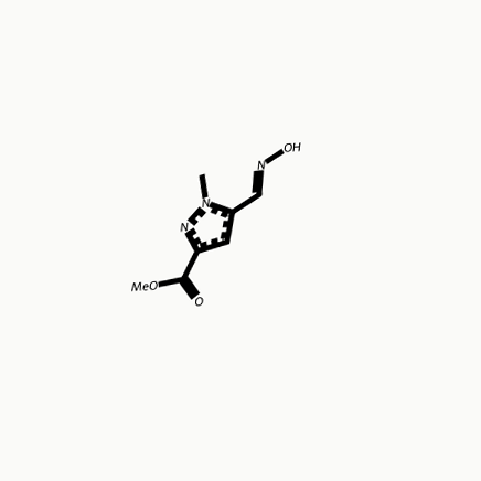 COC(=O)c1cc(/C=N/O)n(C)n1